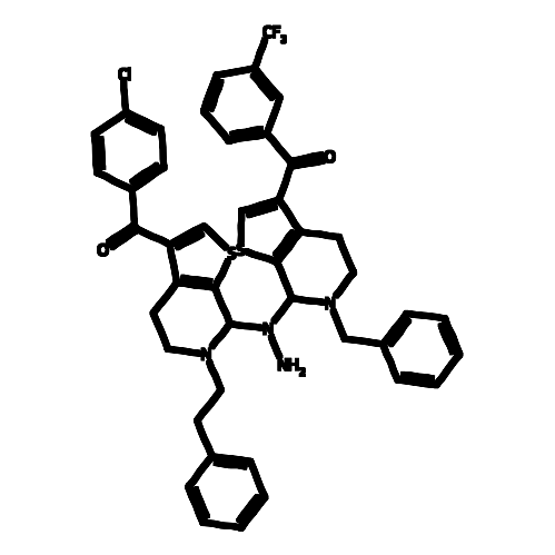 NN(C1c2scc(C(=O)c3ccc(Cl)cc3)c2CCN1CCc1ccccc1)C1c2scc(C(=O)c3cccc(C(F)(F)F)c3)c2CCN1Cc1ccccc1